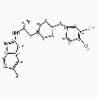 Cc1ccc2nc(NC(CN3CCC(Cc4ccc(Cl)c(Cl)c4)CC3)C(C)C)oc2c1